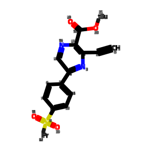 C#Cc1nc(-c2ccc(S(=O)(=O)C(C)C)cc2)cnc1C(=O)OC(C)(C)C